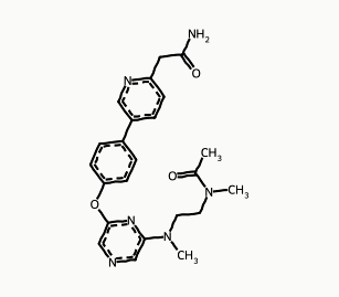 CC(=O)N(C)CCN(C)c1cncc(Oc2ccc(-c3ccc(CC(N)=O)nc3)cc2)n1